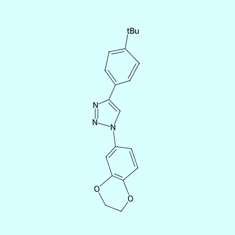 CC(C)(C)c1ccc(-c2cn(-c3ccc4c(c3)OCCO4)nn2)cc1